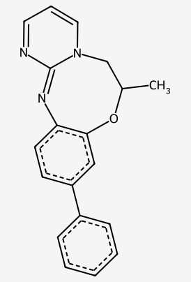 CC1CN2C=CC=NC2=Nc2ccc(-c3ccccc3)cc2O1